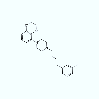 Cc1cccc(SCCCN2CCN(c3cccc4c3OCCO4)CC2)c1